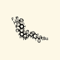 CC(C)(C)OC(=O)N1CCC2(CC1)CC(n1cnc3ccc(C(=O)c4c(F)ccc(NC(=O)C(F)(F)F)c4F)cc3c1=O)CO2